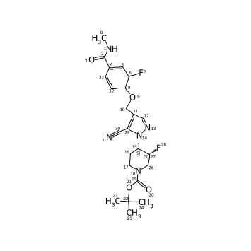 CNC(=O)C1=CC(F)C(OCc2cnn([C@H]3CCN(C(=O)OC(C)(C)C)C[C@@H]3F)c2C#N)C=C1